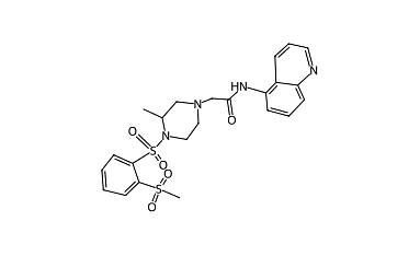 CC1CN(CC(=O)Nc2cccc3ncccc23)CCN1S(=O)(=O)c1ccccc1S(C)(=O)=O